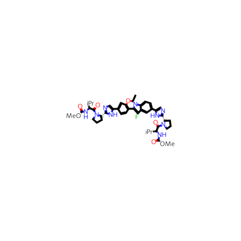 COC(=O)NC(C(=O)N1CCC[C@H]1c1ncc(-c2ccc3c(c2)OC(C)n2c-3c(F)c3cc(-c4cnc([C@@H]5CCCN5C(=O)C(NC(=O)OC)C(C)C)[nH]4)ccc32)[nH]1)C(C)C